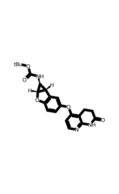 CC(C)(C)OC(=O)N[C@@H]1[C@H]2Oc3ccc(Oc4ccnc5c4CCC(=O)N5)cc3[C@@H]12